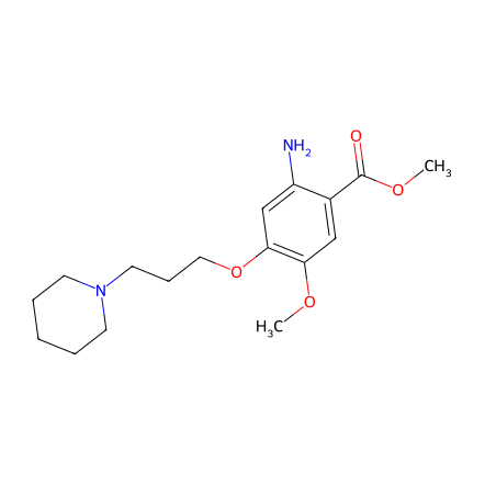 COC(=O)c1cc(OC)c(OCCCN2CCCCC2)cc1N